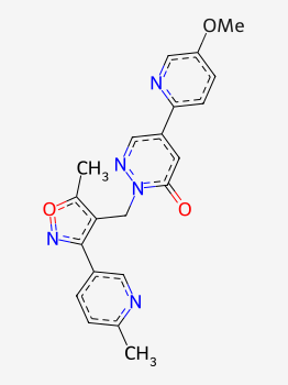 COc1ccc(-c2cnn(Cc3c(-c4ccc(C)nc4)noc3C)c(=O)c2)nc1